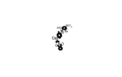 CCN(c1ccc(/N=N/c2c(Br)cc([N+](=O)[O-])cc2C#N)c(C)c1)C(C)CN1C(=O)c2ccccc2C1=O